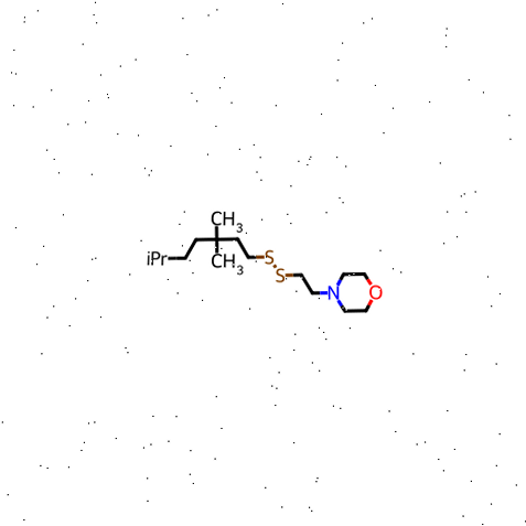 CC(C)CCC(C)(C)CCSSCCN1CCOCC1